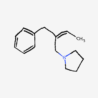 CC=C(Cc1ccccc1)CN1CCCC1